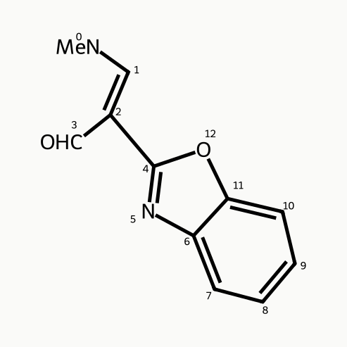 CN/C=C(\C=O)c1nc2ccccc2o1